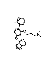 Cc1ncccc1-c1ccc(Oc2nccc3occc23)cc1OCCCN(C)C